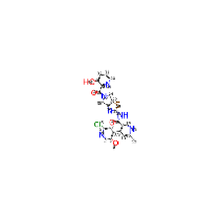 COc1cnc(Cl)cc1-c1cc(C)ncc1C(=O)Nc1nc2c(s1)CN(C(=O)c1ncccc1O)C2